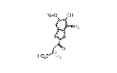 CC[C@@H](CC(=O)c1cc2c(N)c(O)c(OC)cc2s1)C(=O)O